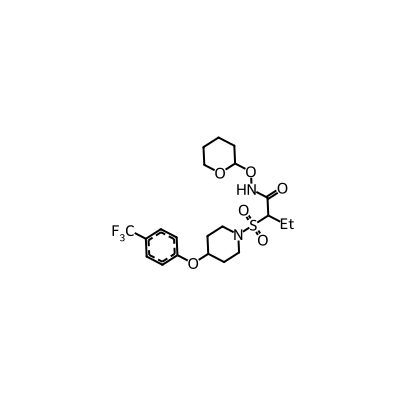 CCC(C(=O)NOC1CCCCO1)S(=O)(=O)N1CCC(Oc2ccc(C(F)(F)F)cc2)CC1